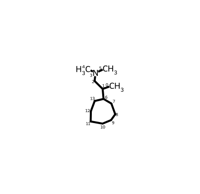 CC(CN(C)C)C1CCCCCCC1